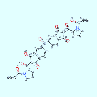 COC(=O)N1CCC[C@H]1C(=O)C1C(=O)c2ccc(C(=O)c3ccc4c(c3)C(=O)C(C(=O)[C@@H]3CCCN3C(=O)OC)C4=O)cc2C1=O